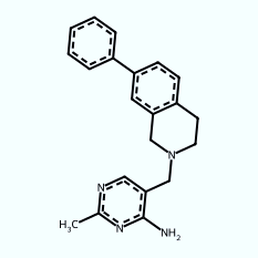 Cc1ncc(CN2CCc3ccc(-c4ccccc4)cc3C2)c(N)n1